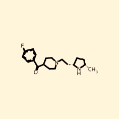 C[C@H]1CC[C@@H](CCN2CCC(C(=O)c3ccc(F)cc3)CC2)N1